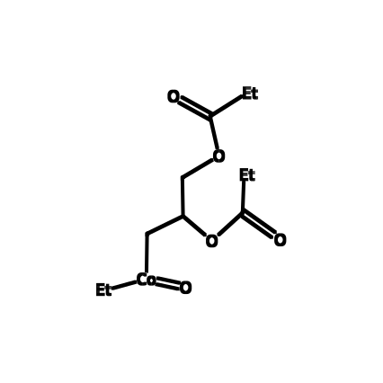 CCC(=O)OCC([CH2][Co](=[O])[CH2]C)OC(=O)CC